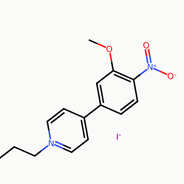 CCC[n+]1ccc(-c2ccc([N+](=O)[O-])c(OC)c2)cc1.[I-]